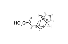 CC(C[C@@H]1CC2CC1[C@@H]1CC=C[C@@H]21)C(=O)O